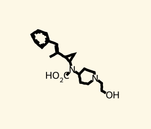 C/C(=C\c1ccccc1)C1CC1N(C(=O)O)C1CCN(CCO)CC1